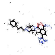 Cc1c(-c2nnn[nH]2)ccc(C(N)=O)c1C(=O)N1CC2CN(CC[CH]c3ccccc3)C[C@H]2C1